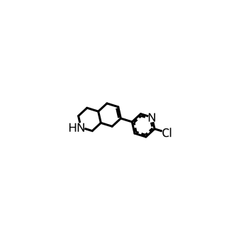 Clc1ccc(C2=CCC3CCNCC3C2)cn1